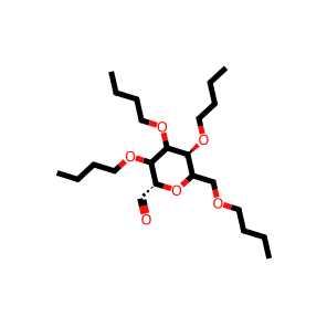 CCCCOCC1O[C@H](C=O)C(OCCCC)C(OCCCC)[C@H]1OCCCC